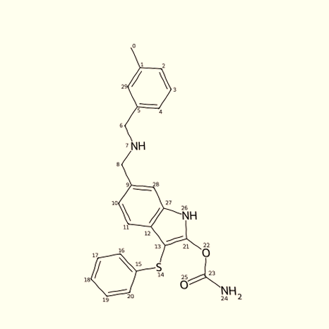 Cc1cccc(CNCc2ccc3c(Sc4ccccc4)c(OC(N)=O)[nH]c3c2)c1